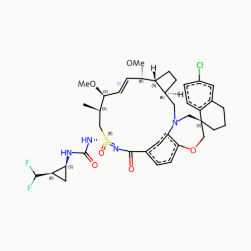 CO[C@H]1/C=C/[C@H](OC)[C@H](C)C[S@@](=O)(NC(=O)N[C@H]2C[C@H]2C(F)F)=NC(=O)c2ccc3c(c2)N(C[C@@H]2CC[C@H]21)C[C@@]1(CCCc2cc(Cl)ccc21)CO3